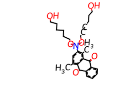 Cc1cc(N(OCCCCCCO)OCCCCCCO)c(C)c2c1C(=O)c1ccccc1C2=O